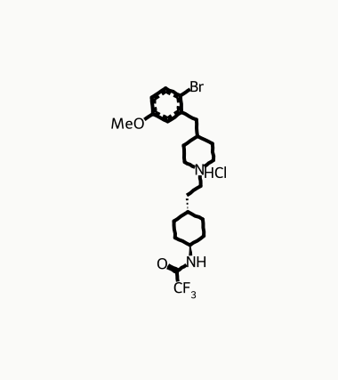 COc1ccc(Br)c(CC2CCN(CC[C@H]3CC[C@H](NC(=O)C(F)(F)F)CC3)CC2)c1.Cl